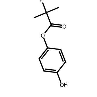 CC(C)(F)C(=O)Oc1ccc(O)cc1